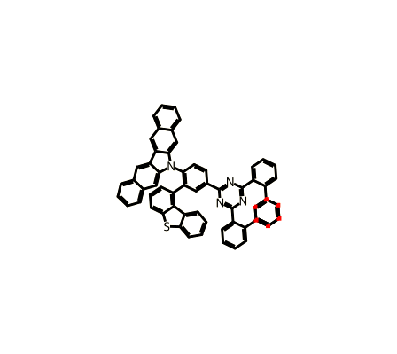 c1ccc(-c2ccccc2-c2nc(-c3ccc(-n4c5cc6ccccc6cc5c5cc6ccccc6cc54)c(-c4cccc5sc6ccccc6c45)c3)nc(-c3ccccc3-c3ccccc3)n2)cc1